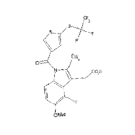 COc1ccc2c(c1F)c(CC(=O)O)c(C)n2C(=O)c1csc(SC(F)(F)C(F)(F)F)c1